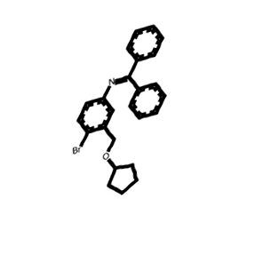 Brc1ccc(N=C(c2ccccc2)c2ccccc2)cc1COC1CCCC1